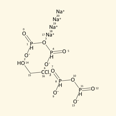 O=[PH]([O-])O[PH](=O)[O-].O=[PH]([O-])O[PH](=O)[O-].OCC(Cl)(Cl)Cl.[Na+].[Na+].[Na+].[Na+]